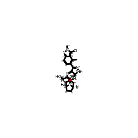 Cc1c(-c2n[nH]c3nc(N4[C@@H]5CC[C@H]4[C@@H](F)[C@@H](N)C5)c(CO)nc23)ccc2nn(C)c(Cl)c12